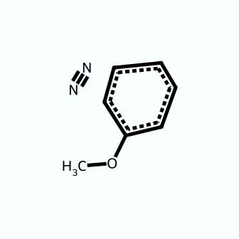 COc1ccccc1.N#N